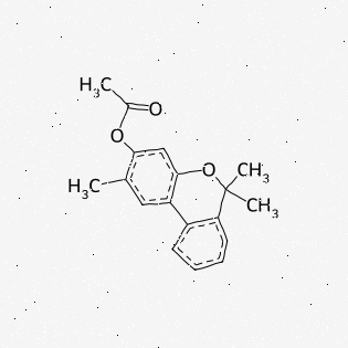 CC(=O)Oc1cc2c(cc1C)-c1ccccc1C(C)(C)O2